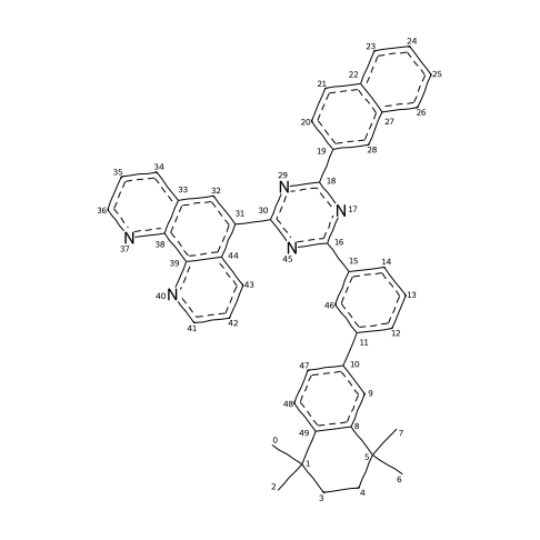 CC1(C)CCC(C)(C)c2cc(-c3cccc(-c4nc(-c5ccc6ccccc6c5)nc(-c5cc6cccnc6c6ncccc56)n4)c3)ccc21